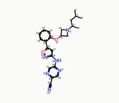 CC(C)CC(C)N1CC(Oc2ccccc2-c2cc(Nc3cnc(C#N)cn3)no2)C1